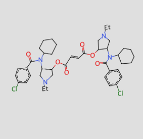 CCN1CC(OC(=O)/C=C/C(=O)OC2CN(CC)CC2N(C(=O)c2ccc(Cl)cc2)C2CCCCC2)C(N(C(=O)c2ccc(Cl)cc2)C2CCCCC2)C1